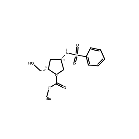 CC(C)(C)OC(=O)N1C[C@@H](NS(=O)(=O)c2ccccc2)C[C@H]1CO